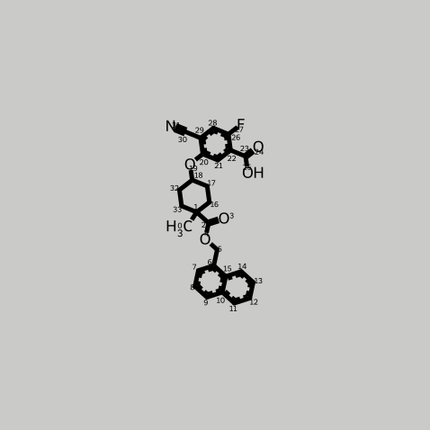 CC1(C(=O)OCc2cccc3ccccc23)CCC(Oc2cc(C(=O)O)c(F)cc2C#N)CC1